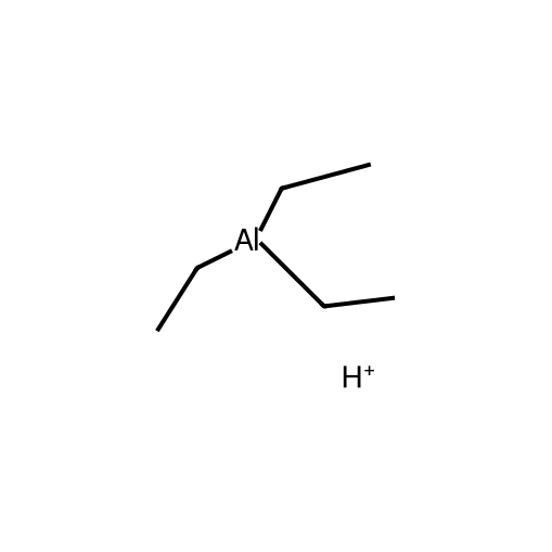 C[CH2][Al]([CH2]C)[CH2]C.[H+]